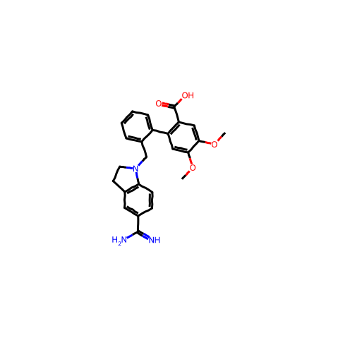 COc1cc(C(=O)O)c(-c2ccccc2CN2CCc3cc(C(=N)N)ccc32)cc1OC